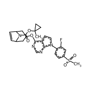 CC1(OC(=O)N2C3C=CC2CC(Oc2ncnc4c2ccn4-c2ccc(S(C)(=O)=O)cc2F)C3)CC1